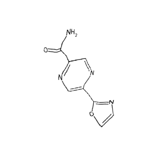 NC(=O)c1cnc(-c2ncco2)cn1